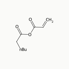 C=CC(=O)OC(=O)CCCCC